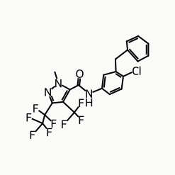 Cn1nc(C(F)(F)C(F)(F)F)c(C(F)(F)F)c1C(=O)Nc1ccc(Cl)c(Cc2ccccc2)c1